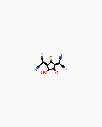 N#CC(C#N)=C1C(=O)C(=C(C#N)C#N)C(O)C1=O